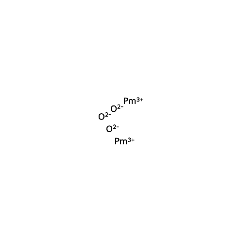 [O-2].[O-2].[O-2].[Pm+3].[Pm+3]